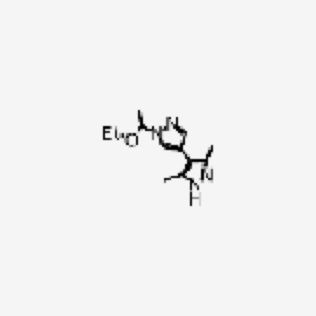 CCOC(C)n1cc(-c2c(C)n[nH]c2C)cn1